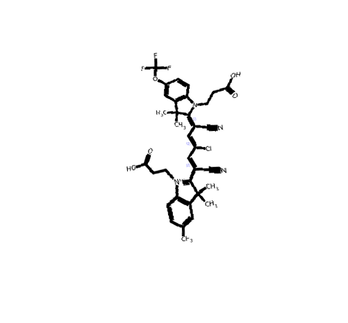 Cc1ccc2c(c1)C(C)(C)C(/C(C#N)=C/C(Cl)=C/C(C#N)=C1/N(CCC(=O)O)c3ccc(OC(F)(F)F)cc3C1(C)C)=[N+]2CCC(=O)O